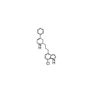 Clc1ccc(CCCC2CC(c3ccccc3)=CCN2)c2cc[nH]c12